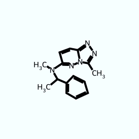 Cc1nnc2ccc(N(C)C(C)c3ccccc3)nn12